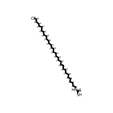 S=C(S)NCCCCCCCCCCCCCCCCCCCCCCCCCCCCCCCCCCl